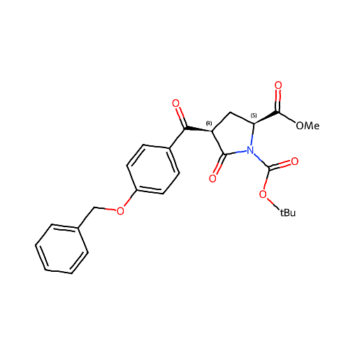 COC(=O)[C@@H]1C[C@H](C(=O)c2ccc(OCc3ccccc3)cc2)C(=O)N1C(=O)OC(C)(C)C